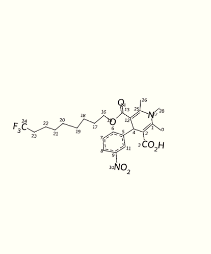 CC1=C(C(=O)O)C(c2cccc([N+](=O)[O-])c2)C(C(=O)OCCCCCCCCC(F)(F)F)=C(C)N1C